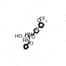 O=C(NC[C@H](NC(=O)C1CCN(c2cccc(OC(F)(F)F)c2)CC1)C(=O)O)c1ccccc1